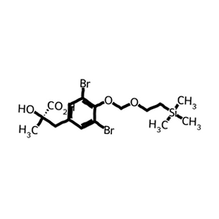 C[C@@](O)(Cc1cc(Br)c(OCOCC[Si](C)(C)C)c(Br)c1)C(=O)O